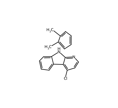 Cc1ccccc1C.Clc1ccnc2[nH]c3ccccc3c12